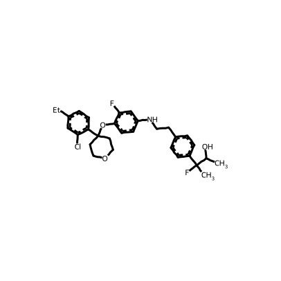 CCc1ccc(C2(Oc3ccc(NCCc4ccc(C(C)(F)C(C)O)cc4)cc3F)CCOCC2)c(Cl)c1